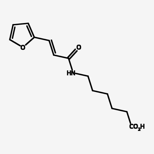 O=C(O)CCCCCNC(=O)C=Cc1ccco1